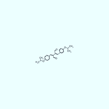 CC(C)Oc1ccc(C=C(C=O)C(C=O)=Cc2ccc(OC(C)C)cc2)cc1